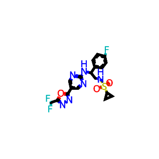 O=S(=O)(NCC(Nc1ncc(-c2nnc(C(F)F)o2)cn1)c1ccc(F)cc1)C1CC1